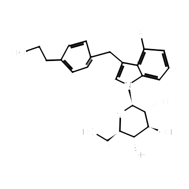 OCCc1ccc(Cc2cn([C@@H]3O[C@H](CO)[C@@H](O)[C@H](O)[C@H]3O)c3cccc(F)c23)cc1